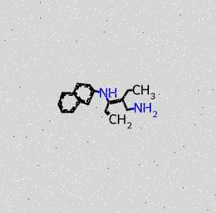 C=C/C(Nc1ccc2ccccc2c1)=C(/CC)CN